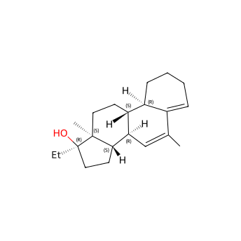 CC[C@@]1(O)CC[C@H]2[C@@H]3C=C(C)C4=CCCC[C@@H]4[C@H]3CC[C@@]21C